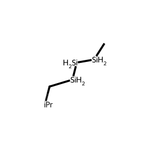 C[SiH2][SiH2][SiH2]CC(C)C